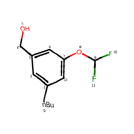 CCCCc1cc([CH]O)cc(OC(F)F)c1